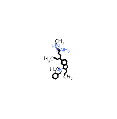 C=CCC(CC/C(N)=C/NCC)c1ccc2c(c1)C(N(C)CC1CCCCC1)C(CC=C)C2